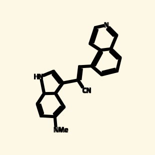 CNC1=CC2C(/C(C#N)=C/c3cccc4cnccc34)=CNC2C=C1